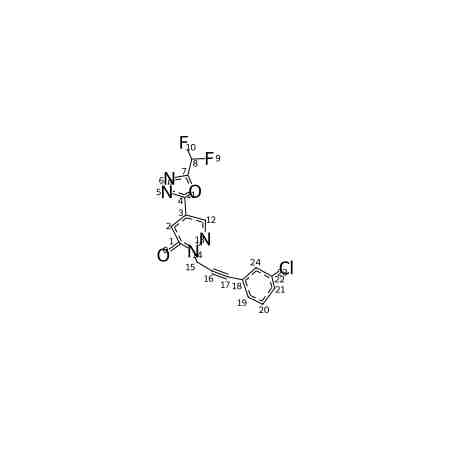 O=c1cc(-c2nnc(C(F)F)o2)cnn1CC#Cc1cccc(Cl)c1